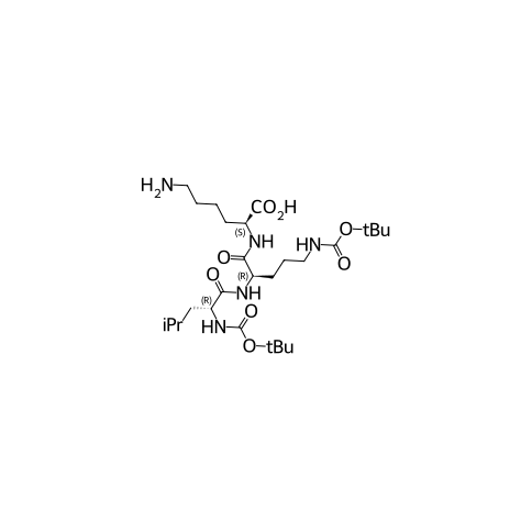 CC(C)C[C@@H](NC(=O)OC(C)(C)C)C(=O)N[C@H](CCCNC(=O)OC(C)(C)C)C(=O)N[C@@H](CCCCN)C(=O)O